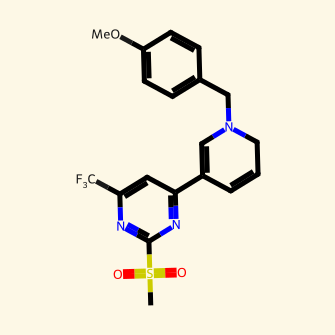 COc1ccc(CN2C=C(c3cc(C(F)(F)F)nc(S(C)(=O)=O)n3)C=CC2)cc1